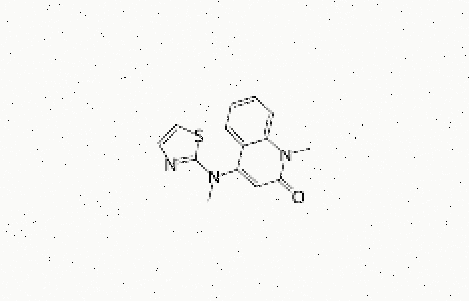 CN(c1nccs1)c1cc(=O)n(C)c2ccccc12